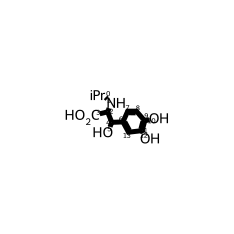 CC(C)NC(C(=O)O)C(O)c1ccc(O)c(O)c1